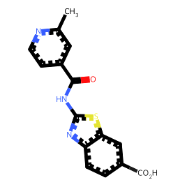 Cc1cc(C(=O)Nc2nc3ccc(C(=O)O)cc3s2)ccn1